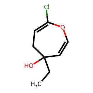 CCC1(O)C=COC(Cl)=CC1